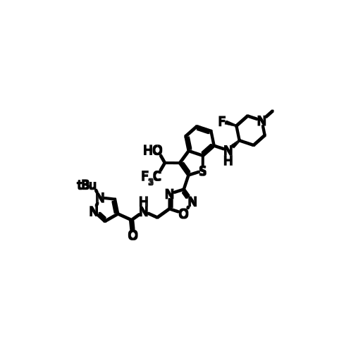 CN1CC[C@@H](Nc2cccc3c(C(O)C(F)(F)F)c(-c4noc(CNC(=O)c5cnn(C(C)(C)C)c5)n4)sc23)[C@@H](F)C1